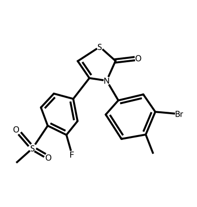 Cc1ccc(-n2c(-c3ccc(S(C)(=O)=O)c(F)c3)csc2=O)cc1Br